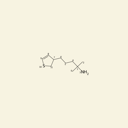 CC(C)(N)CCCC1C=CSC1